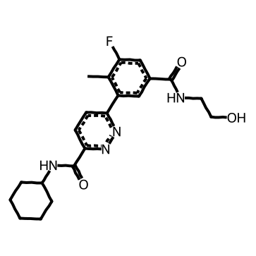 Cc1c(F)cc(C(=O)NCCO)cc1-c1ccc(C(=O)NC2CCCCC2)nn1